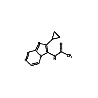 O=C(Nc1c(C2CC2)nc2cnccn12)C(F)(F)F